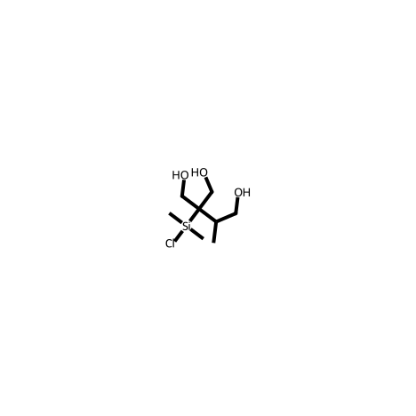 CC(CO)C(CO)(CO)[Si](C)(C)Cl